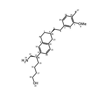 COc1cc(CC[C@@H]2CCc3cc([C@H](CN)CCCCO)ccc3C2)ccc1F